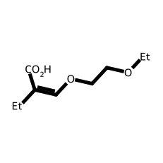 CCOCCOC=C(CC)C(=O)O